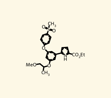 CCOC(=O)c1ccc(-c2cc(Oc3ccc(S(C)(=O)=O)cc3)cc(OC(C)COC)c2)[nH]1